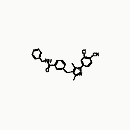 Cc1nn(-c2ccc(C#N)c(Cl)c2)c(C)c1Cc1cccc(C(=O)NCc2ccccc2)c1